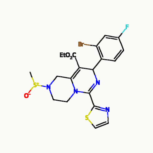 CCOC(=O)C1=C2CN([S+](C)[O-])CCN2C(c2nccs2)=NC1c1ccc(F)cc1Br